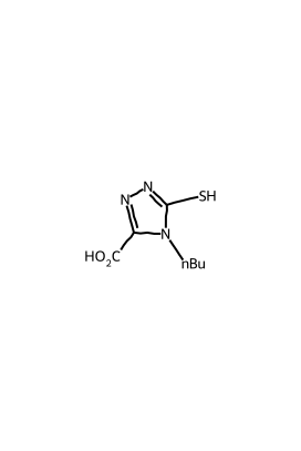 CCCCn1c(S)nnc1C(=O)O